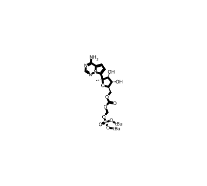 CC(C)(C)OP(=O)(OCOC(=O)OC[C@H]1O[C@@](C)(c2ccc3c(N)ncnn23)[C@H](O)[C@@H]1O)OC(C)(C)C